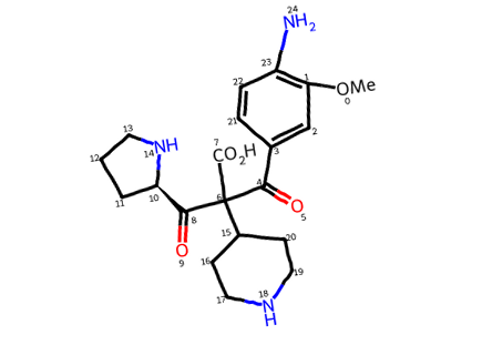 COc1cc(C(=O)C(C(=O)O)(C(=O)[C@H]2CCCN2)C2CCNCC2)ccc1N